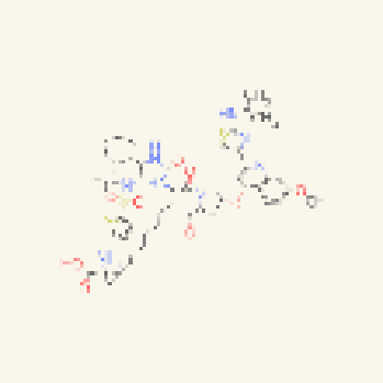 COc1ccc2c(O[C@@H]3C[C@@H](C=O)N(C(=O)[C@H](CCCCCCCC4C[C@]4(N)C(=O)O)NC(=O)NC(CN(C)S(=O)(=O)c4cccs4)C4CCCCC4)C3)cc(-c3csc(NC(C)C)n3)nc2c1